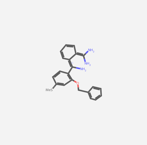 CSc1ccc(/C(N)=c2\ccccc2=C(N)N)c(OCc2ccccc2)c1